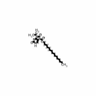 CCCCCCCCCCCCCCCCOC(=O)n1c(=O)n(C(C)C)c2nc(=O)[nH]cc21